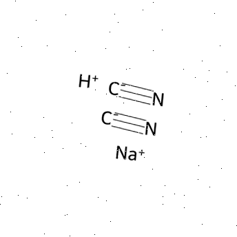 [C-]#N.[C-]#N.[H+].[Na+]